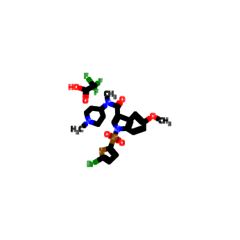 COc1ccc2c(c1)c(C(=O)N(C)C1CCN(C)CC1)cn2S(=O)(=O)c1ccc(Br)s1.O=C(O)C(F)(F)F